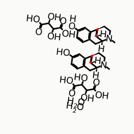 CN1CC[C@]23CCCC[C@H]2[C@H]1Cc1ccc(O)cc13.CN1CC[C@]23CCCC[C@H]2[C@H]1Cc1ccc(O)cc13.O.O.O=C(O)C(O)C(O)C(=O)O.O=C(O)C(O)C(O)C(=O)O